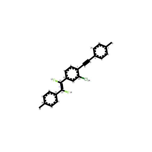 Cc1ccc(C#Cc2ccc(/C(F)=C(\F)c3ccc(C)cc3)cc2Cl)cc1